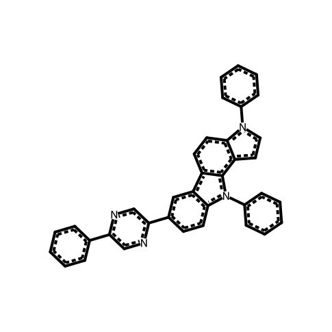 c1ccc(-c2cnc(-c3ccc4c(c3)c3ccc5c(ccn5-c5ccccc5)c3n4-c3ccccc3)cn2)cc1